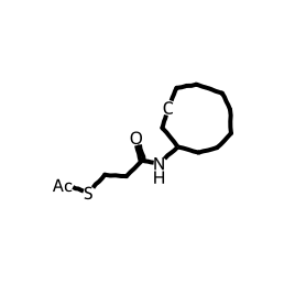 CC(=O)SCCC(=O)NC1CCCCCCCCC1